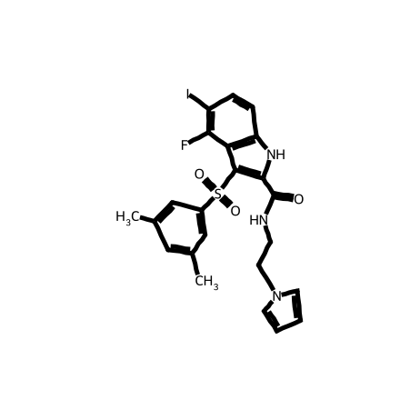 Cc1cc(C)cc(S(=O)(=O)c2c(C(=O)NCCn3cccc3)[nH]c3ccc(I)c(F)c23)c1